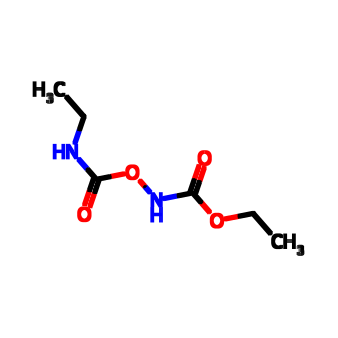 CCNC(=O)ONC(=O)OCC